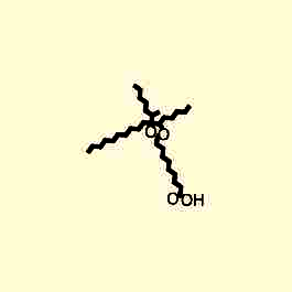 CCCCCCCCCCC(OC(=O)CCCCCCCCC(=O)O)(C(C)CCCCC)C(C)CCCCC